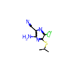 CC(C)Sc1nc(N)c(C#N)nc1Cl